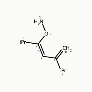 C=C(/C=C(\ON)C(C)C)C(C)C